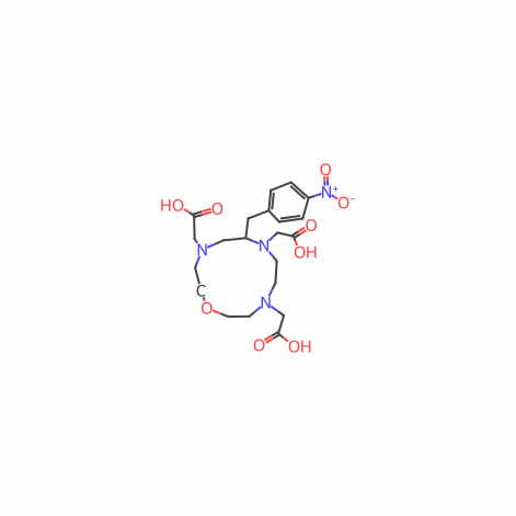 O=C(O)CN1CCOCCN(CC(=O)O)CC(Cc2ccc([N+](=O)[O-])cc2)N(CC(=O)O)CC1